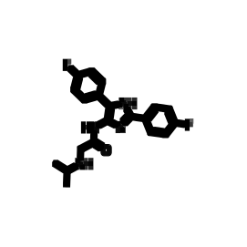 CC(C)NCC(=O)Nc1nc(-c2ccc(F)cc2)[nH]c1-c1ccc(F)cc1